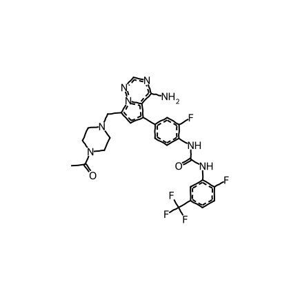 CC(=O)N1CCN(Cc2cc(-c3ccc(NC(=O)Nc4cc(C(F)(F)F)ccc4F)c(F)c3)c3c(N)ncnn23)CC1